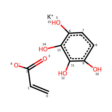 C=CC(=O)[O-].Oc1ccc(O)c(O)c1O.[K+]